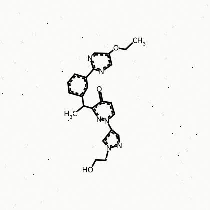 CCOc1cnc(-c2cccc(C(C)c3nn(-c4cnn(CCO)c4)ccc3=O)c2)nc1